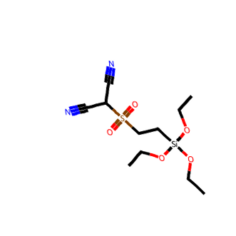 CCO[Si](CCS(=O)(=O)C(C#N)C#N)(OCC)OCC